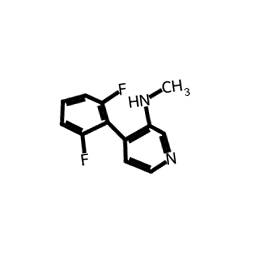 CNc1cnccc1-c1c(F)cccc1F